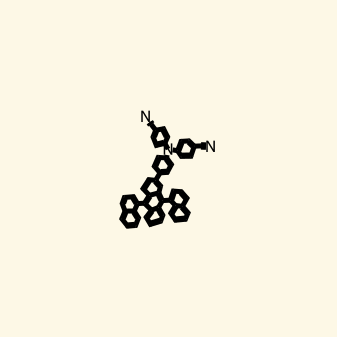 N#Cc1ccc(N(c2ccc(C#N)cc2)c2ccc(-c3ccc4c(-c5cccc6ccccc56)c5ccccc5c(-c5cccc6ccccc56)c4c3)cc2)cc1